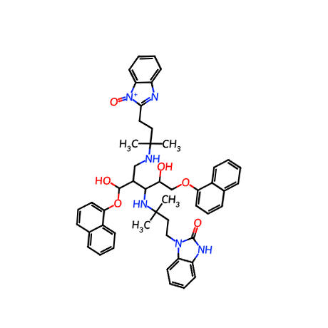 CC(C)(CCC1=Nc2ccccc2[N+]1=O)NCC(C(O)Oc1cccc2ccccc12)C(NC(C)(C)CCn1c(=O)[nH]c2ccccc21)C(O)COc1cccc2ccccc12